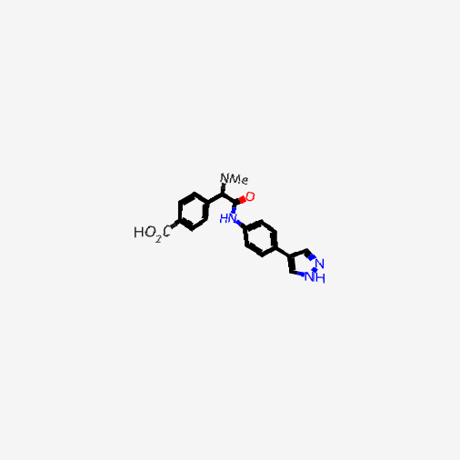 CNC(C(=O)Nc1ccc(-c2cn[nH]c2)cc1)c1ccc(C(=O)O)cc1